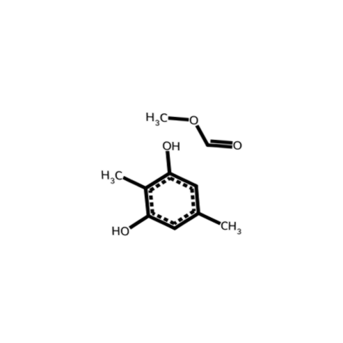 COC=O.Cc1cc(O)c(C)c(O)c1